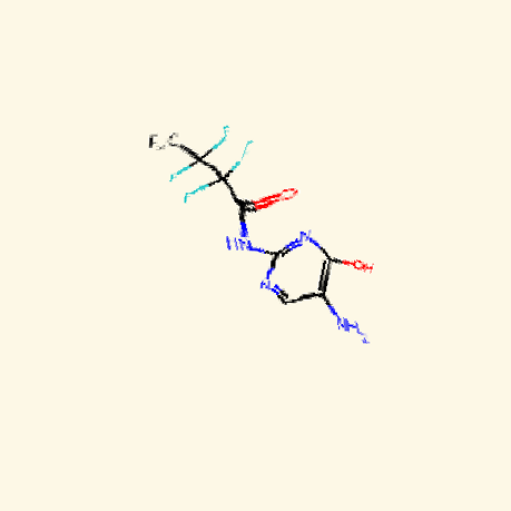 Nc1cnc(NC(=O)C(F)(F)C(F)(F)C(F)(F)F)nc1O